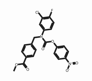 COC(=O)c1ccc(CN(C(=O)Oc2ccc([N+](=O)[O-])cc2)c2ccc(F)c(Cl)c2)cc1